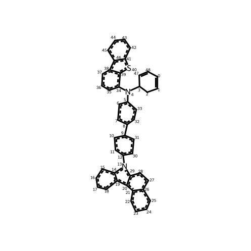 C1=CCC(N(c2ccc(-c3ccc(-n4c5ccccc5c5c6ccccc6ccc54)cc3)cc2)c2cccc3c2sc2ccccc23)C=C1